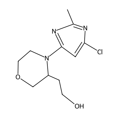 Cc1nc(Cl)cc(N2CCOCC2CCO)n1